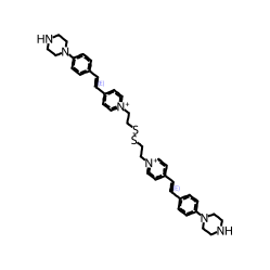 C(=C\c1cc[n+](CCSSCC[n+]2ccc(/C=C/c3ccc(N4CCNCC4)cc3)cc2)cc1)/c1ccc(N2CCNCC2)cc1